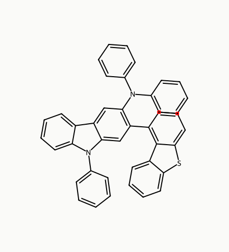 c1ccc(N(c2ccccc2)c2cc3c4ccccc4n(-c4ccccc4)c3cc2-c2cccc3sc4ccccc4c23)cc1